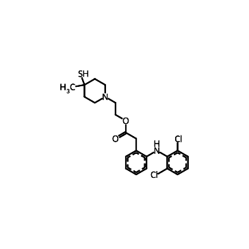 CC1(S)CCN(CCOC(=O)Cc2ccccc2Nc2c(Cl)cccc2Cl)CC1